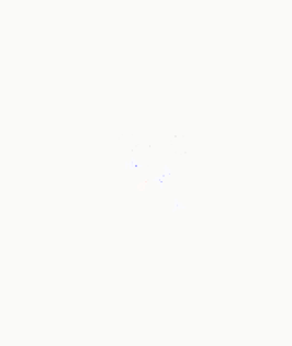 CC(=O)c1c(-c2ccccc2)nn(CCN(C)C)c(=O)c1Nc1cccc(Cl)c1